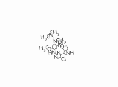 COc1cc(N(C)CCN(C)C)c([N+](=O)[O-])cc1Nc1ncc(Cl)c(-c2c[nH]c3ccccc23)n1